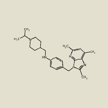 Cc1cc(C)c2nc(C)n(Cc3ccc(NCC4CCN(C(C)C)CC4)cc3)c2n1